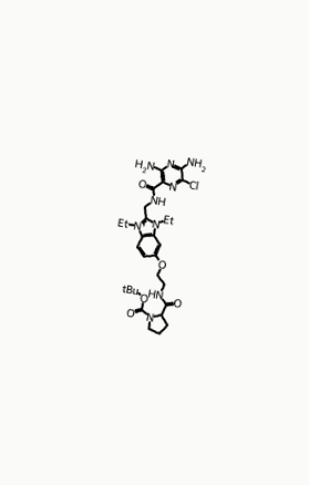 CCn1c(CNC(=O)c2nc(Cl)c(N)nc2N)[n+](CC)c2ccc(OCCNC(=O)C3CCCN3C(=O)OC(C)(C)C)cc21